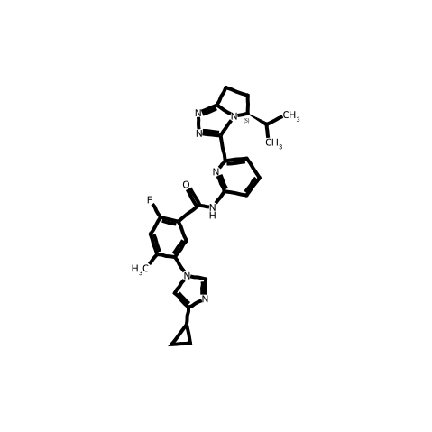 Cc1cc(F)c(C(=O)Nc2cccc(-c3nnc4n3[C@H](C(C)C)CC4)n2)cc1-n1cnc(C2CC2)c1